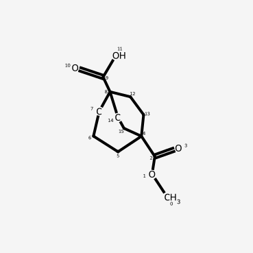 COC(=O)C12CCCC(C(=O)O)(CC1)CC2